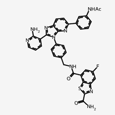 CC(=O)Nc1cccc(-c2ccc3nc(-c4cccnc4N)n(-c4ccc(CNC(=O)c5cc(F)cc6nc(C(N)=O)sc56)cc4)c3n2)c1